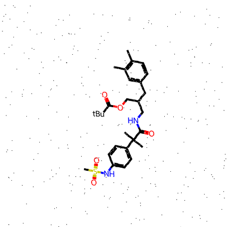 Cc1ccc(CC(CNC(=O)C(C)(C)c2ccc(NS(C)(=O)=O)cc2)COC(=O)C(C)(C)C)cc1C